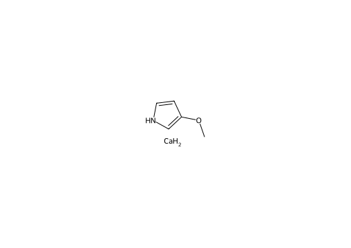 COc1cc[nH]c1.[CaH2]